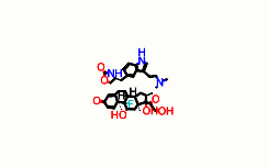 CN(C)CCc1c[nH]c2ccc(C[C@H]3COC(=O)N3)cc12.C[C@@H]1C[C@H]2[C@@H]3CCC4=CC(=O)C=C[C@]4(C)[C@@]3(F)[C@@H](O)C[C@]2(C)[C@@]1(O)C(=O)CO